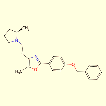 Cc1oc(-c2ccc(OCc3ccccc3)cc2)nc1CCN1CCC[C@H]1C